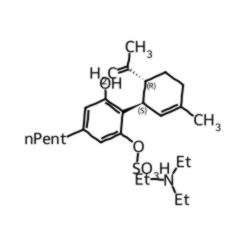 C=C(C)[C@@H]1CCC(C)=C[C@H]1c1c(O)cc(CCCCC)cc1OS(=O)(=O)O.CCN(CC)CC